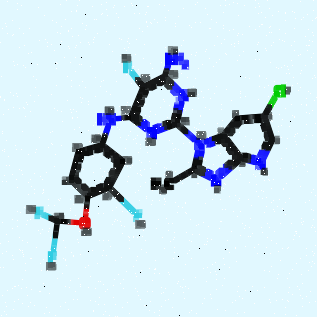 Cc1nc2ncc(Cl)cc2n1-c1nc(N)c(F)c(Nc2ccc(OC(F)F)c(F)c2)n1